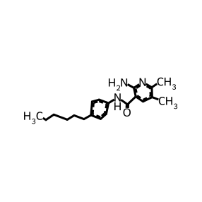 CCCCCCc1ccc(NC(=O)c2cc(C)c(C)nc2N)cc1